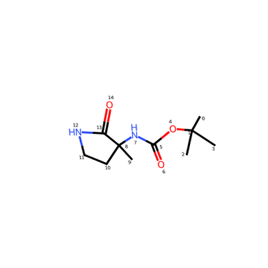 CC(C)(C)OC(=O)NC1(C)CCNC1=O